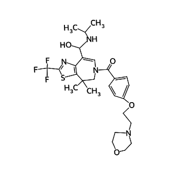 CC(C)NC(O)C1=CN(C(=O)c2ccc(OCCN3CCOCC3)cc2)CC(C)(C)c2sc(C(F)(F)F)nc21